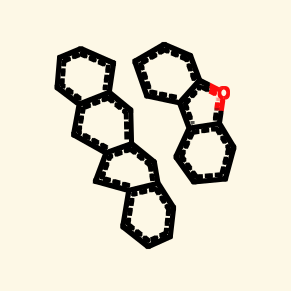 c1ccc2c(c1)oc1ccccc12.c1ccc2cc3cc4ccccc4cc3cc2c1